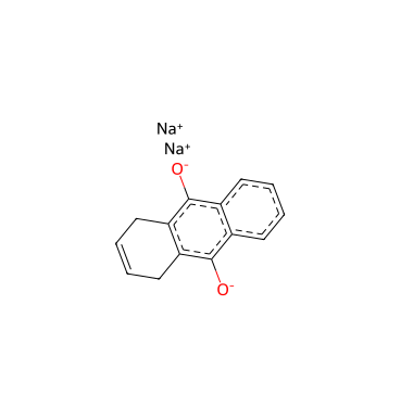 [Na+].[Na+].[O-]c1c2c(c([O-])c3ccccc13)CC=CC2